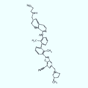 Cc1c(Nc2nccc3cc(CNCCO)cnc23)cccc1-c1cccc(-c2nc3cc(CN4CC[C@@H](C)C4)cc(C#N)c3o2)c1C